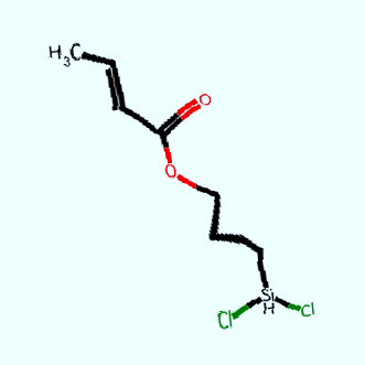 CC=CC(=O)OCCC[SiH](Cl)Cl